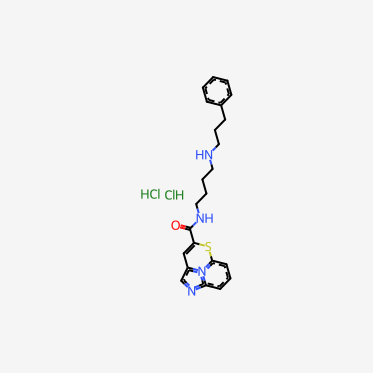 Cl.Cl.O=C(NCCCCNCCCc1ccccc1)C1=Cc2cnc3cccc(n23)S1